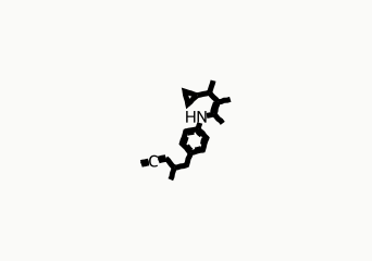 C=C=CC(C)Cc1ccc(N/C(C)=C(/C)C(C)C2CC2)cc1